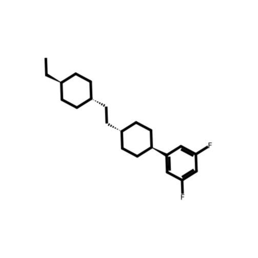 CC[C@H]1CC[C@H](CC[C@H]2CC[C@H](c3cc(F)cc(F)c3)CC2)CC1